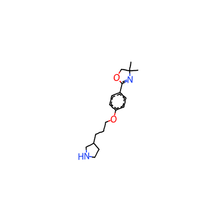 CC1(C)COC(c2ccc(OCCCC3CCNC3)cc2)=N1